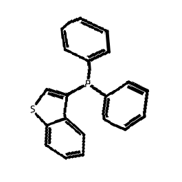 c1ccc(P(c2ccccc2)c2csc3ccccc23)cc1